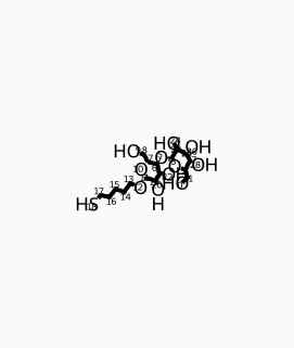 OCC1O[C@@H](O[C@H]2C(CO)O[C@@H](OCCCCCS)[C@@H](O)C2O)C(O)C(O)[C@H]1O